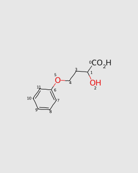 O=C(O)C(O)CCOc1ccccc1